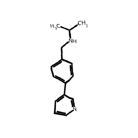 CC(C)NCc1ccc(-c2cccnc2)cc1